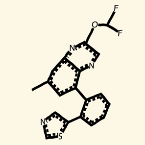 Cc1cc(-c2ccccc2-c2cncs2)c2ncc(OC(F)F)nc2c1